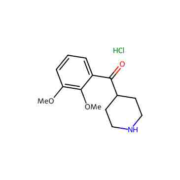 COc1cccc(C(=O)C2CCNCC2)c1OC.Cl